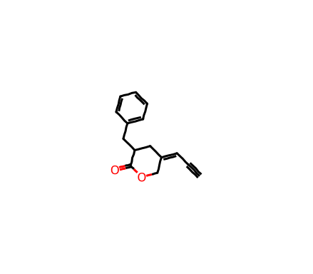 C#CC=C1COC(=O)C(Cc2ccccc2)C1